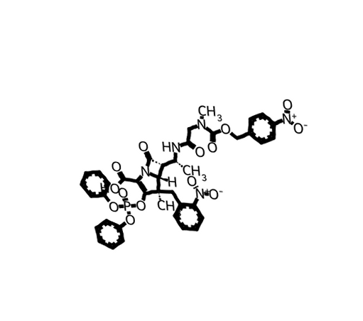 C[C@@H](NC(=O)CN(C)C(=O)OCc1ccc([N+](=O)[O-])cc1)[C@H]1C(=O)N2C(C(=O)O)=C(OP(=O)(Oc3ccccc3)Oc3ccccc3)[C@](C)(Cc3ccccc3[N+](=O)[O-])[C@@H]12